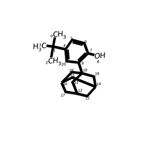 CC(C)(C)c1ccc(O)c(C23CC4CC(CC(C4)C2)C3)c1